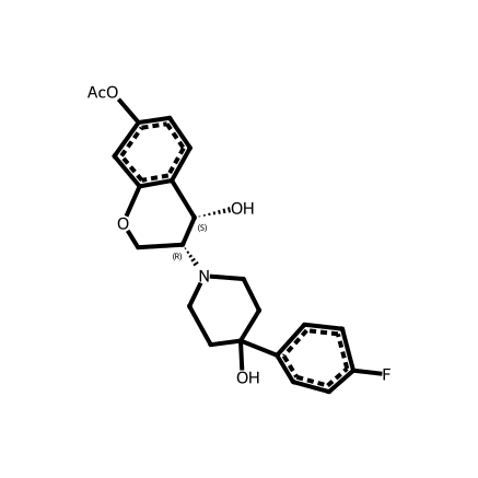 CC(=O)Oc1ccc2c(c1)OC[C@@H](N1CCC(O)(c3ccc(F)cc3)CC1)[C@H]2O